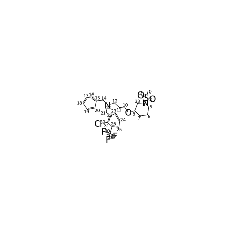 CS(=O)(=O)N1CCCC(OCCCN(Cc2ccccc2)Cc2cccc(C(F)(F)F)c2Cl)C1